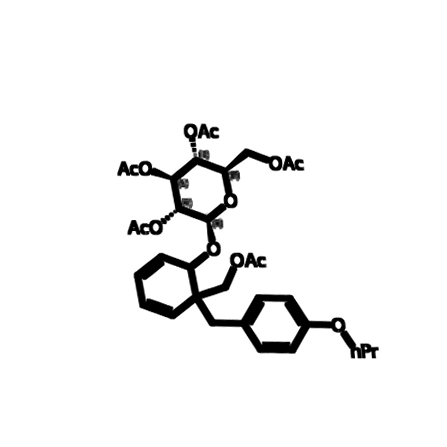 CCCOc1ccc(CC2(COC(C)=O)C=CC=CC2O[C@@H]2O[C@H](COC(C)=O)[C@@H](OC(C)=O)[C@H](OC(C)=O)[C@H]2OC(C)=O)cc1